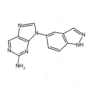 Nc1ncc2ncn(-c3ccc4[nH]ncc4c3)c2n1